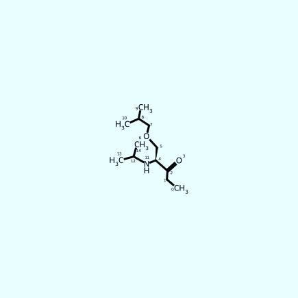 CCC(=O)[C@H](COCC(C)C)NC(C)C